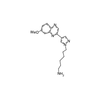 COc1ccc2ncc(-c3cnn(CCCCCCN)c3)nc2c1